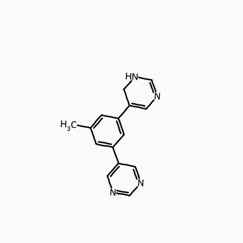 Cc1cc(C2=CN=CNC2)cc(-c2cncnc2)c1